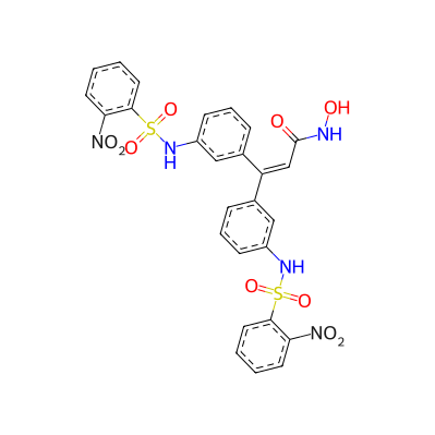 O=C(C=C(c1cccc(NS(=O)(=O)c2ccccc2[N+](=O)[O-])c1)c1cccc(NS(=O)(=O)c2ccccc2[N+](=O)[O-])c1)NO